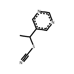 CC(SC#N)c1cncnc1